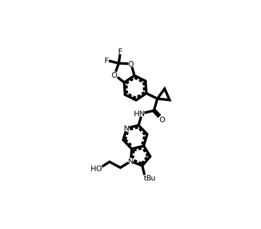 CC(C)(C)c1cc2cc(NC(=O)C3(c4ccc5c(c4)OC(F)(F)O5)CC3)ncc2n1CCO